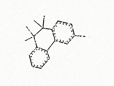 CC1(C)c2ccccc2-c2cc(Br)ccc2C1(C)C